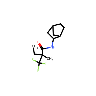 CCC(C)(C(=O)NC1CC2CCC1C2)C(F)(F)F